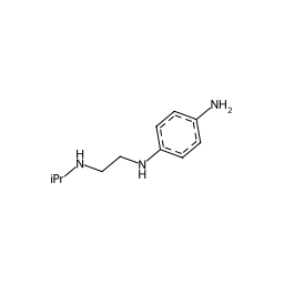 CC(C)NCCNc1ccc(N)cc1